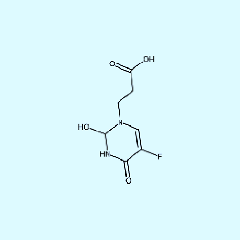 O=C(O)CCN1C=C(F)C(=O)NC1O